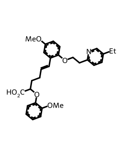 CCc1ccc(CCOc2ccc(OC)cc2C=CCCC(Oc2ccccc2OC)C(=O)O)nc1